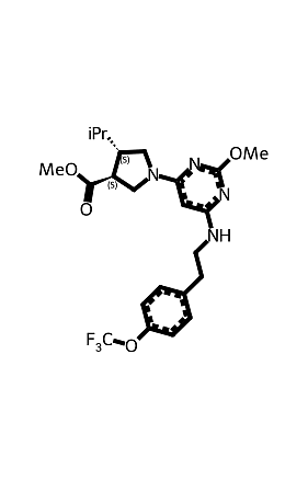 COC(=O)[C@@H]1CN(c2cc(NCCc3ccc(OC(F)(F)F)cc3)nc(OC)n2)C[C@H]1C(C)C